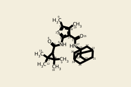 Cc1sc(NC(=O)C2C(C)(C)C2(C)C)c(C(=O)NC23CC4CC(CC(C4)C2)C3)c1C